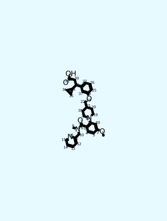 COc1ccc(C(=O)N(C)Cc2ccccn2)c(N2CCC(COc3cccc(C(CC(=O)O)C4CC4)c3)CC2)c1